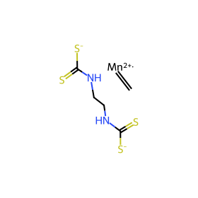 C=C.S=C([S-])NCCNC(=S)[S-].[Mn+2]